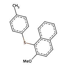 COc1ccc2ccccc2c1Sc1ccc(C)cc1